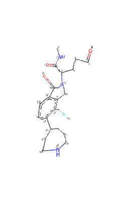 CNC(=O)C(CCC=O)N1Cc2c(ccc(C3CCNCC3)c2F)C1=O